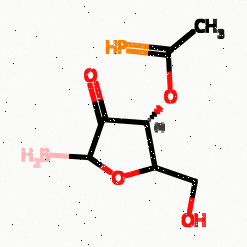 BC1OC(CO)[C@@H](OC(C)=P)C1=O